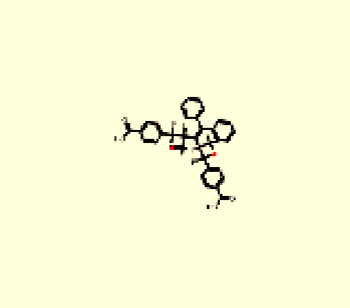 O=C(O)c1ccc(C(F)(F)C(F)(C(=C(c2ccccc2)c2ccccc2)C(F)(C(F)(F)F)C(F)(F)c2ccc(C(=O)O)cc2)C(F)(F)F)cc1